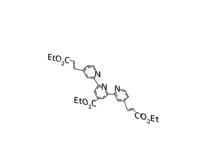 CCOC(=O)/C=C/c1ccnc(-c2cc(C(=O)OCC)cc(-c3cc(/C=C/C(=O)OCC)ccn3)n2)c1